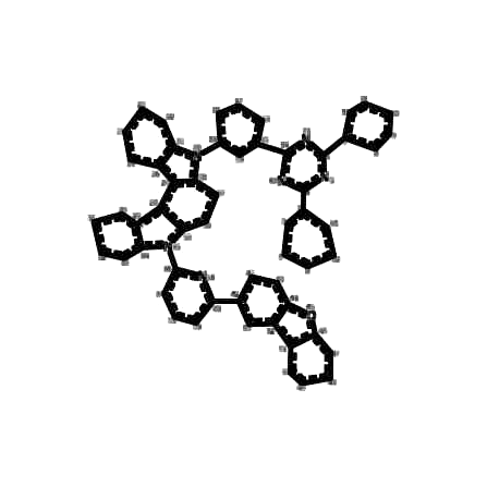 c1ccc(-c2nc(-c3ccccc3)nc(-c3cccc(-n4c5ccccc5c5c6c7ccccc7n(-c7cccc(-c8ccc9oc%10ccccc%10c9c8)n7)c6ccc54)c3)n2)cc1